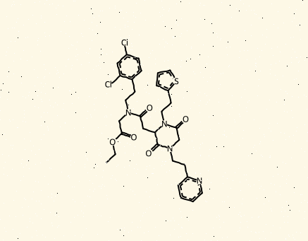 CCOC(=O)CN(CCc1ccc(Cl)cc1Cl)C(=O)CC1C(=O)N(CCc2ccccn2)CC(=O)N1CCc1cccs1